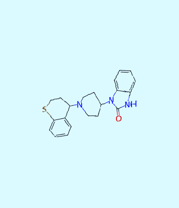 O=c1[nH]c2ccccc2n1C1CCN(C2CCSc3ccccc32)CC1